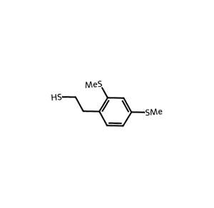 CSc1ccc(CCS)c(SC)c1